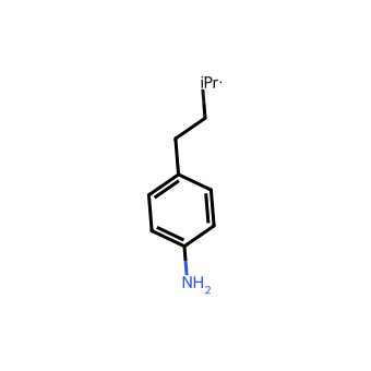 C[C](C)CCc1ccc(N)cc1